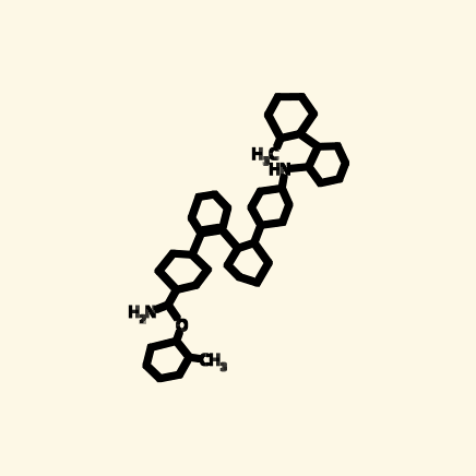 CC1CCCCC1OC(N)C1CCC(C2=C(C3CCCCC3C3CCC(NC4CCCCC4C4CCCCC4C)CC3)CCCC2)CC1